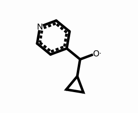 [O]C(c1ccncc1)C1CC1